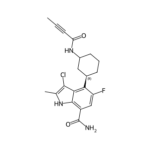 CC#CC(=O)NC1CCC[C@@H](c2c(F)cc(C(N)=O)c3[nH]c(C)c(Cl)c23)C1